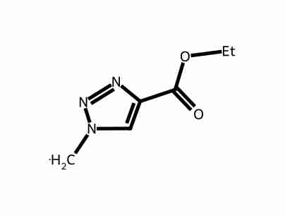 [CH2]n1cc(C(=O)OCC)nn1